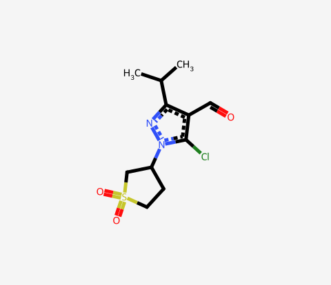 CC(C)c1nn(C2CCS(=O)(=O)C2)c(Cl)c1C=O